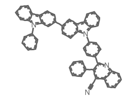 N#Cc1c(-c2ccccc2)c(-c2ccc(-n3c4ccccc4c4cc(-c5ccc6c7ccccc7n(-c7ccccc7)c6c5)ccc43)cc2)nc2ccccc12